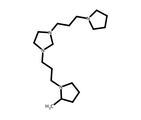 CC1CCCN1CCCN1CCN(CCCN2CCCC2)C1